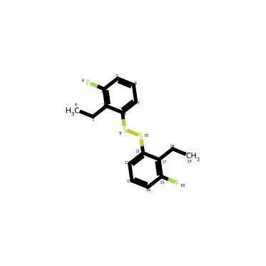 CCc1c(F)cccc1SSc1cccc(F)c1CC